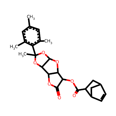 Cc1cc(C)c(C2(C)OC3OC4C(OC(=O)C5CC6C=CC5C6)C(=O)OC4C3O2)c(C)c1